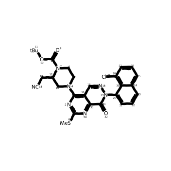 CSc1nc(N2CCN(C(=O)OC(C)(C)C)C(CC#N)C2)c2cnn(-c3cccc4cccc(Cl)c34)c(=O)c2n1